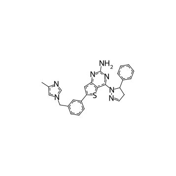 Cc1cn(Cc2cccc(-c3cc4nc(N)nc(N5N=CCC5c5ccccc5)c4s3)c2)cn1